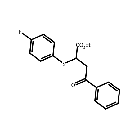 CCOC(=O)C(CC(=O)c1ccccc1)Sc1ccc(F)cc1